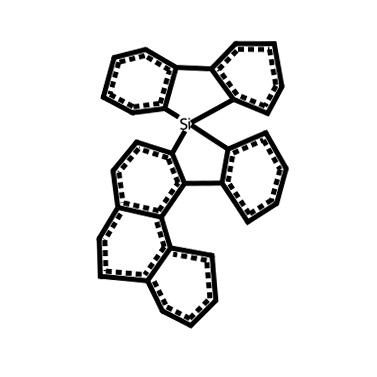 c1ccc2c(c1)-c1ccccc1[Si]21c2ccccc2-c2c1ccc1ccc3ccccc3c21